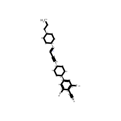 CCC[C@H]1CC[C@H](/C=C/C#C[C@H]2CC[C@H](c3cc(F)c(C#N)c(F)c3)CC2)CC1